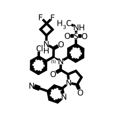 CNS(=O)(=O)c1cccc(N(C(=O)C2CCC(=O)N2c2cc(C#N)ccn2)[C@H](C(=O)NC2CC(F)(F)C2)c2ccccc2Cl)c1